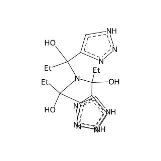 CCC(O)(c1c[nH]nn1)N(C(O)(CC)c1c[nH]nn1)C(O)(CC)c1c[nH]nn1